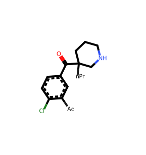 CCCC1(C(=O)c2ccc(Cl)c(C(C)=O)c2)CCCNC1